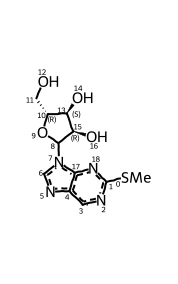 CSc1n[c]c2ncn(C3O[C@H](CO)[C@@H](O)[C@H]3O)c2n1